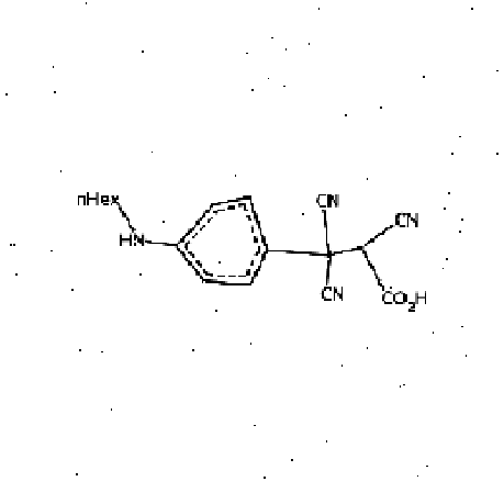 CCCCCCNc1ccc(C(C#N)(C#N)C(C#N)C(=O)O)cc1